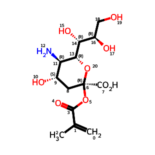 C=C(C)C(=O)O[C@@]1(C(=O)O)C[C@H](O)[C@@H](N)[C@H]([C@H](O)[C@H](O)CO)O1